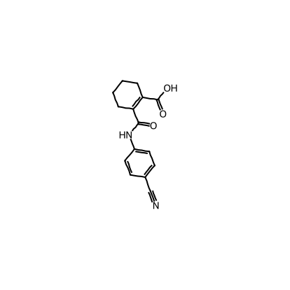 N#Cc1ccc(NC(=O)C2=C(C(=O)O)CCCC2)cc1